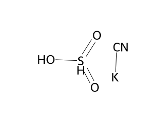 N#[C][K].O=[SH](=O)O